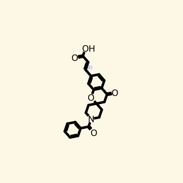 O=C(O)/C=C/c1ccc2c(c1)OC1(CCN(C(=O)c3ccccc3)CC1)CC2=O